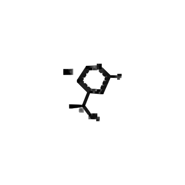 C[C@H](N)c1ccnc(F)c1.Cl